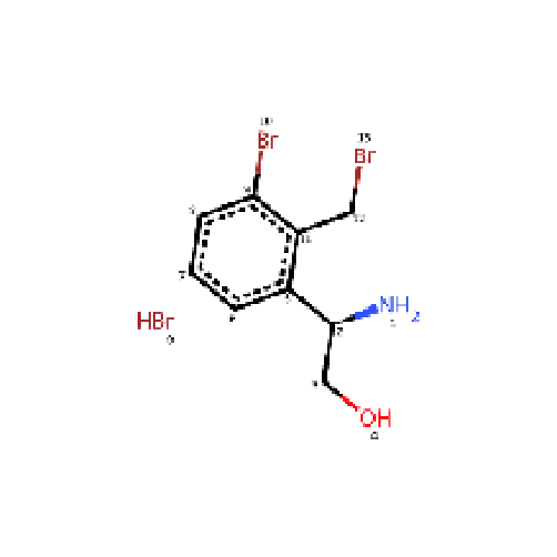 Br.N[C@@H](CO)c1cccc(Br)c1CBr